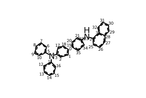 c1ccc(N(c2ccccc2)c2ccccc2)cc1.c1ccc(Nc2cccc3ccccc23)cc1